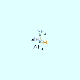 [AlH3].[AlH3].[SiH3]P